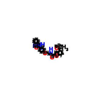 CCCOC(C)c1cccc2oc(C(=O)NCCOc3ccc(C(=O)Nc4ccccc4N)cc3)cc12